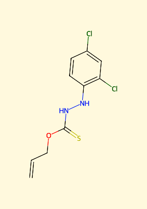 C=CCOC(=S)NNc1ccc(Cl)cc1Cl